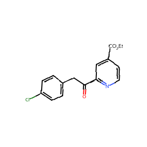 CCOC(=O)c1ccnc(C(=O)Cc2ccc(Cl)cc2)c1